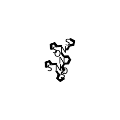 O=C(c1cccc(C(=O)N(Cc2cccs2)Cc2cccs2)n1)N(Cc1cccs1)Cc1cccs1